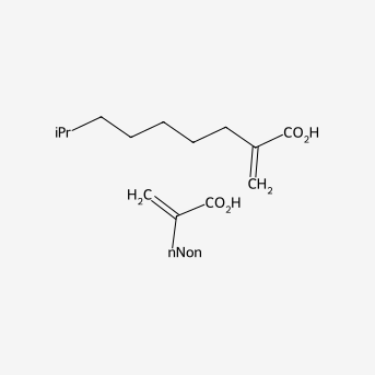 C=C(CCCCCC(C)C)C(=O)O.C=C(CCCCCCCCC)C(=O)O